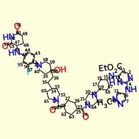 CCOC(=O)c1cnc(Nc2cnn(C)c2)nc1NC1CCC(N2CCN(C(=O)C3CCC(C(=O)N4CCC(CCC5(O)CCN(c6ccc(N[C@@H]7CCC(=O)NC7=O)cc6F)CC5)CC4)CC3)CC2)CC1